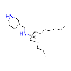 CCCCCCC[C@@H](CCCCC)NCC1CCCNC1